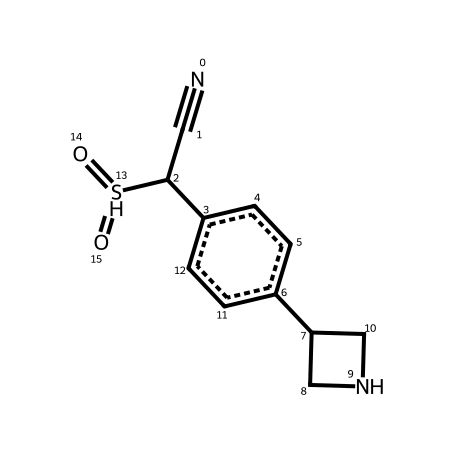 N#CC(c1ccc(C2CNC2)cc1)[SH](=O)=O